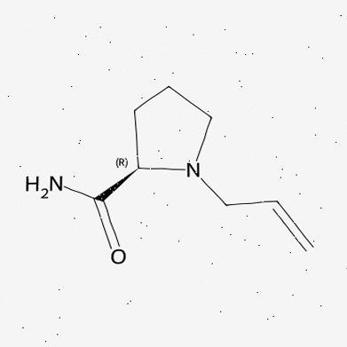 C=CCN1CCC[C@@H]1C(N)=O